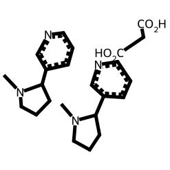 CN1CCCC1c1cccnc1.CN1CCCC1c1cccnc1.O=C(O)CC(=O)O